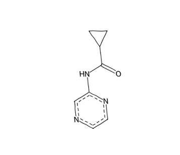 O=C(Nc1cnccn1)C1CC1